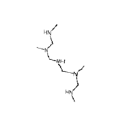 CNCN(C)CNCN(C)CNC